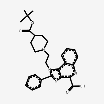 CC(C)(C)OC(=O)C1CCN(CCn2c(-c3ccccc3)nc3c(C(=O)O)nc4ccccc4c32)CC1